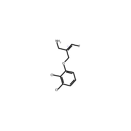 NC/C(=C/F)COc1cccc(Cl)c1Cl